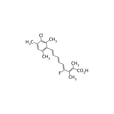 CC(C(=O)O)=C(C)C(F)=CC=CC=Cc1c(C)cc(C)c(Cl)c1C